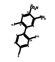 Nc1cc(-c2ccc(F)cc2F)c(I)cc1C(=O)O